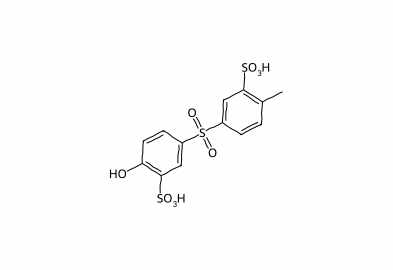 Cc1ccc(S(=O)(=O)c2ccc(O)c(S(=O)(=O)O)c2)cc1S(=O)(=O)O